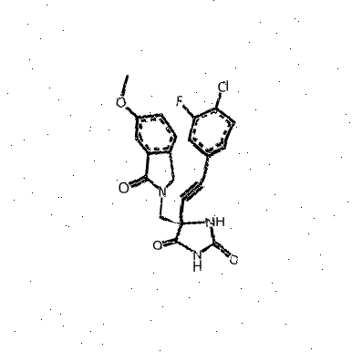 COc1ccc2c(c1)C(=O)N(C[C@@]1(C#Cc3ccc(Cl)c(F)c3)NC(=O)NC1=O)C2